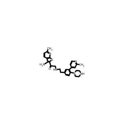 Cc1cc(-c2cc(CCNCC(=O)c3sc4nc(C)ccc4c3N)ccc2N2CCNCC2)ccn1